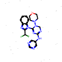 FC(F)c1nc2ccccc2n1C1=NC(Nc2cncnc2)=NCN1N1CCOCC1